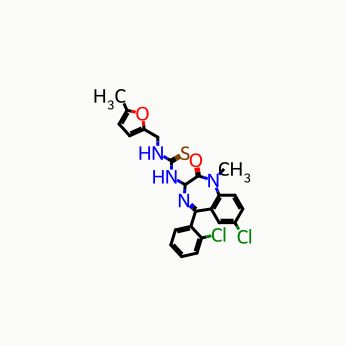 Cc1ccc(CNC(=S)NC2N=C(c3ccccc3Cl)c3cc(Cl)ccc3N(C)C2=O)o1